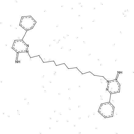 N=c1ccc(-c2ccccc2)nn1CCCCCCCCCCCCn1nc(-c2ccccc2)ccc1=N